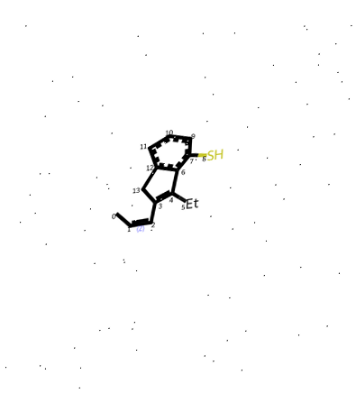 C/C=C\C1=C(CC)c2c(S)cccc2C1